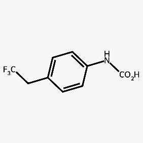 O=C(O)Nc1ccc(CC(F)(F)F)cc1